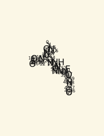 C=CC(=O)N1CCC[C@H]1c1ncc(N2C[C@H](CS(C)(=O)=O)[C@H]2C)c2cnc(Nc3ccnc(N4CC[C@@H](OC5CCN(C6CCOCC6)CC5)[C@@H](F)C4)n3)cc12